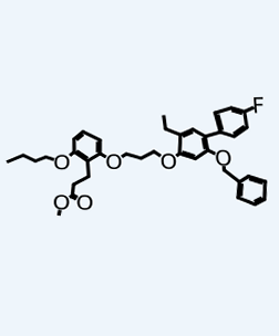 CCCCOc1cccc(OCCCOc2cc(OCc3ccccc3)c(-c3ccc(F)cc3)cc2CC)c1CCC(=O)OC